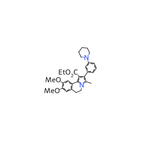 CCOC(=O)c1c(-c2cccc(N3CCCCC3)c2)c(C)n2c1-c1cc(OC)c(OC)cc1CC2